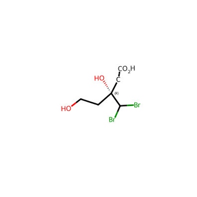 O=C(O)C[C@](O)(CCO)C(Br)Br